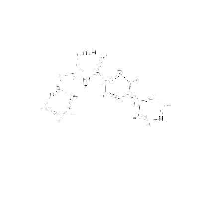 O=C(N[C@@H](CO)Cc1ccccc1)c1ccc(-c2ccncc2)cc1